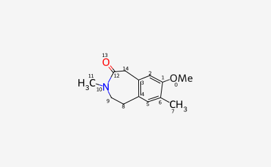 COc1cc2c(cc1C)CCN(C)C(=O)C2